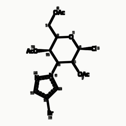 CC(=O)OCC1O[C@@H](Cl)C(OC(C)=O)C(n2cc(Br)cn2)[C@H]1OC(C)=O